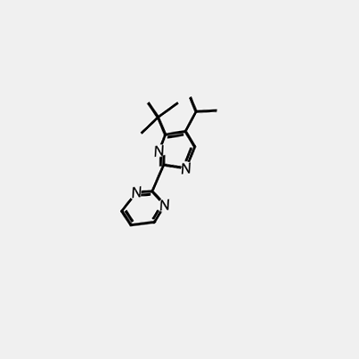 CC(C)c1cnc(-c2ncccn2)nc1C(C)(C)C